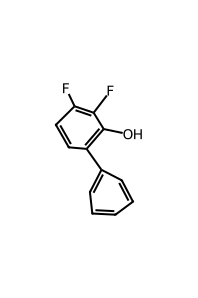 Oc1c(-c2ccccc2)ccc(F)c1F